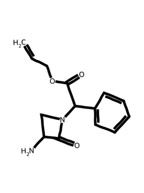 C=CCOC(=O)C(c1ccccc1)N1CC(N)C1=O